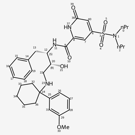 CCCN(CCC)S(=O)(=O)c1cc(C(=O)N[C@@H](Cc2ccccc2)[C@H](O)CNC2(c3cccc(OC)c3)CCCCC2)[nH]c(=O)c1